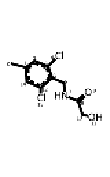 Cc1cc(Cl)c(CNC(=O)CO)c(Cl)c1